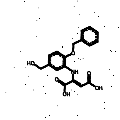 O=C(O)/C=C(\Nc1cc(CO)ccc1OCc1ccccc1)C(=O)O